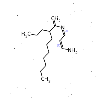 C=C(/N=C\C=C/N)C(CCC)CCCCCCC